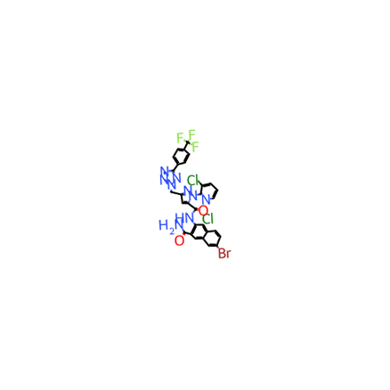 NC(=O)c1cc2cc(Br)ccc2c(Cl)c1NC(=O)c1cc(Cn2nnc(-c3ccc(C(F)(F)F)cc3)n2)nn1-c1ncccc1Cl